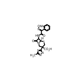 CON=C(C(=O)NC1C(=O)N2CC(C(=O)O)(c3nnc(C)s3)CS[C@H]12)c1ccccc1